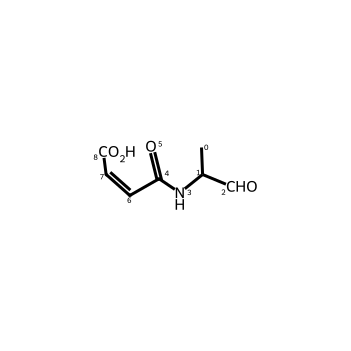 CC(C=O)NC(=O)/C=C\C(=O)O